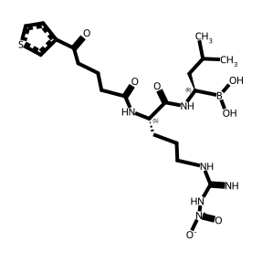 CC(C)C[C@H](NC(=O)[C@H](CCCNC(=N)N[N+](=O)[O-])NC(=O)CCCC(=O)c1ccsc1)B(O)O